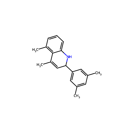 CC1=CC(c2cc(C)cc(C)c2)Nc2cccc(C)c21